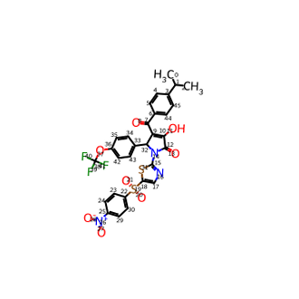 CC(C)c1ccc(C(=O)C2=C(O)C(=O)N(c3ncc(S(=O)(=O)c4ccc([N+](=O)[O-])cc4)s3)C2c2ccc(OC(F)(F)F)cc2)cc1